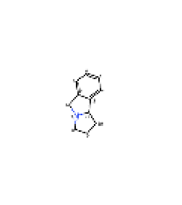 c1ccc2c(c1)CN1CCCC21